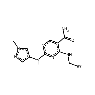 CC(C)CNc1nc(Nc2cnn(C)c2)ncc1C(N)=O